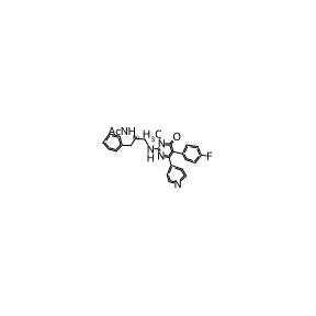 CC(=O)N[C@@H](CNc1nc(-c2ccncc2)c(-c2ccc(F)cc2)c(=O)n1C)Cc1ccccc1